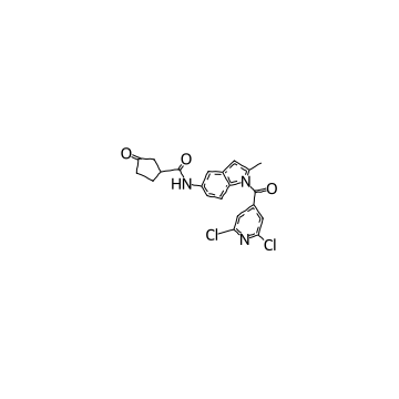 Cc1cc2cc(NC(=O)C3CCC(=O)C3)ccc2n1C(=O)c1cc(Cl)nc(Cl)c1